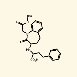 CC(C)(C)OC(=O)CN1C(=O)C(NC(CCc2ccccc2)C(=O)O)CCc2ccccc21